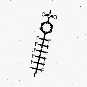 CS(=O)(=O)c1ccc(C(F)(F)C(F)(F)C(F)(F)C(F)(F)C(F)(F)C(F)(F)F)cc1